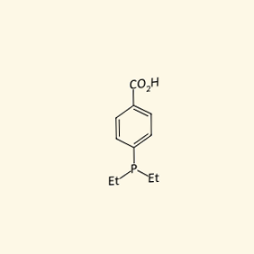 CCP(CC)c1ccc(C(=O)O)cc1